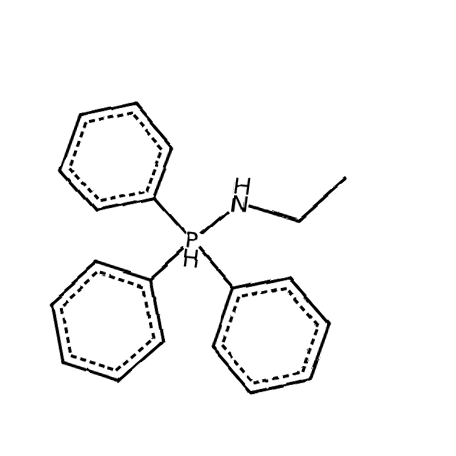 CCN[PH](c1ccccc1)(c1ccccc1)c1ccccc1